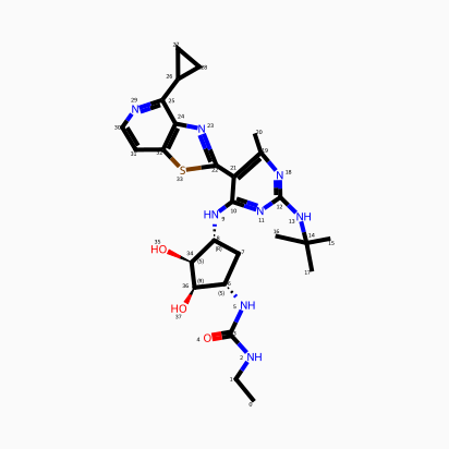 CCNC(=O)N[C@H]1C[C@@H](Nc2nc(NC(C)(C)C)nc(C)c2-c2nc3c(C4CC4)nccc3s2)[C@H](O)[C@@H]1O